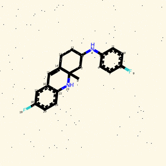 CC12CC(Nc3ccc(F)cc3)CCC1=Cc1cc(F)ccc1N2